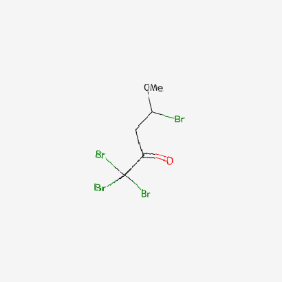 COC(Br)CC(=O)C(Br)(Br)Br